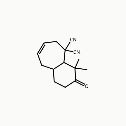 CC1(C)C(=O)CCC2CC=CCC(C#N)(C#N)C21